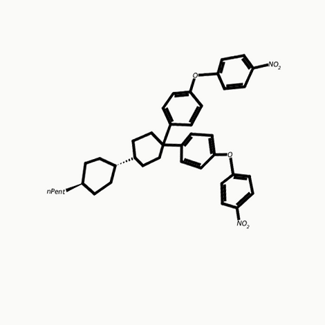 CCCCC[C@H]1CC[C@H](C2CCC(c3ccc(Oc4ccc([N+](=O)[O-])cc4)cc3)(c3ccc(Oc4ccc([N+](=O)[O-])cc4)cc3)CC2)CC1